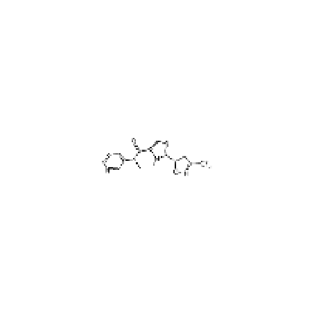 CN(C(=O)c1cnc(C2CC(C(F)(F)F)=NO2)n1C)c1cccnc1